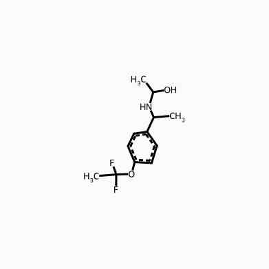 CC(O)NC(C)c1ccc(OC(C)(F)F)cc1